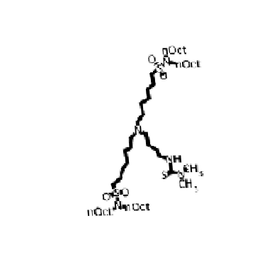 CCCCCCCCN(CCCCCCCC)S(=O)(=O)CCCCCCCN(CCCCCCCS(=O)(=O)N(CCCCCCCC)CCCCCCCC)CCCCNC(=S)N(C)C